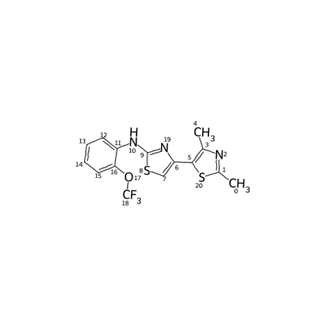 Cc1nc(C)c(-c2csc(Nc3ccccc3OC(F)(F)F)n2)s1